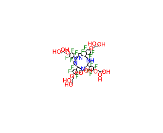 OCC(O)COc1c(F)c(F)c(-c2c3nc(c(-c4c(F)c(F)c(OCC(O)CO)c(F)c4F)c4ccc([nH]4)c(-c4c(F)c(F)c(OCC(O)CO)c(F)c4F)c4nc(c(-c5c(F)c(F)c(OCC(O)CO)c(F)c5F)c5ccc2[nH]5)C(O)C4O)C=C3)c(F)c1F